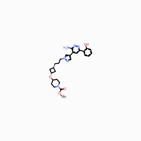 CC(C)(C)OC(=O)N1CCC(O[C@H]2C[C@H](CCCn3cc(-c4cc(-c5ccccc5O)nnc4N)cn3)C2)CC1